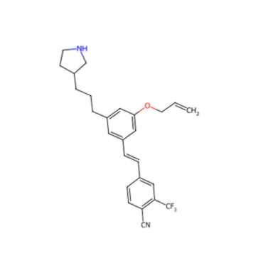 C=CCOc1cc(/C=C/c2ccc(C#N)c(C(F)(F)F)c2)cc(CCCC2CCNC2)c1